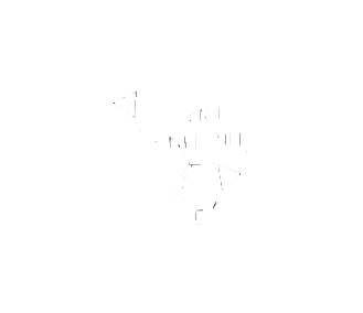 CC[C@@H]1C[C@]1(N)C(=O)NSC1CC1.Cl